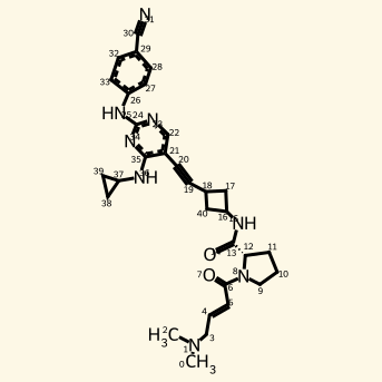 CN(C)C/C=C/C(=O)N1CCC[C@H]1C(=O)NC1CC(C#Cc2cnc(Nc3ccc(C#N)cc3)nc2NC2CC2)C1